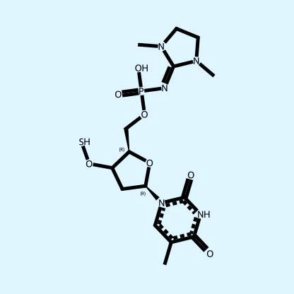 Cc1cn([C@H]2CC(OS)[C@@H](COP(=O)(O)N=C3N(C)CCN3C)O2)c(=O)[nH]c1=O